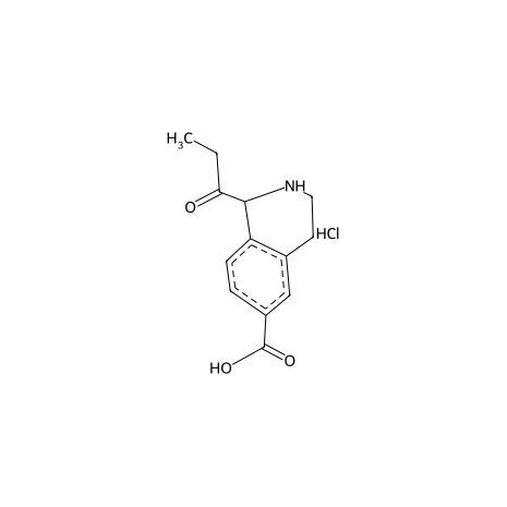 CCC(=O)C1NCCc2cc(C(=O)O)ccc21.Cl